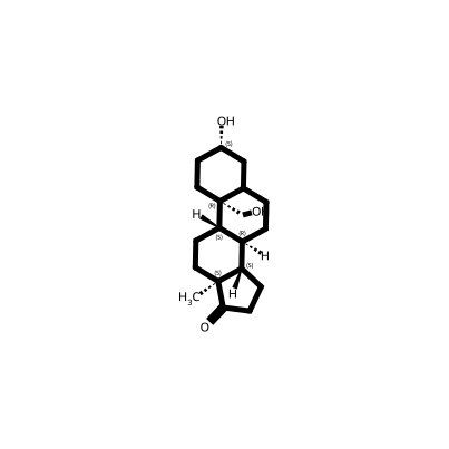 C[C@]12CC[C@H]3[C@@H](CCC4C[C@@H](O)CC[C@@]43CO)[C@@H]1CCC2=O